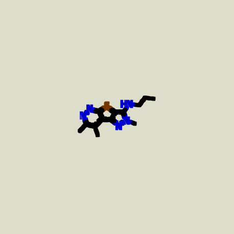 CCCNc1c2sc3nnc(C)c(C)c3c2nn1C